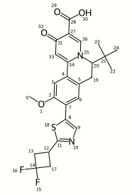 COc1cc2c(cc1-c1cnc(C3CC(F)(F)C3)s1)CC(C(C)(C)C)n1cc(C(=O)O)c(=O)cc1-2